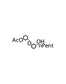 CCCCCC(O)c1cccc(OCc2cccc(OC(C)=O)c2)c1